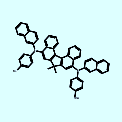 CC(C)(C)c1ccc(N(c2ccc3ccccc3c2)c2cc3c(c4ccccc24)-c2c(cc(N(c4ccc(C(C)(C)C)cc4)c4ccc5ccccc5c4)c4ccccc24)C3(C)C)cc1